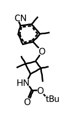 Cc1c(C#N)ccc(OC2C(C)(C)C(NC(=O)OC(C)(C)C)C2(C)C)c1C